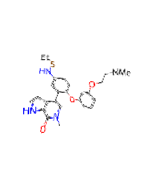 CCSNc1ccc(Oc2cccc(OCCNC)c2)c(-c2cn(C)c(=O)c3[nH]ccc23)c1